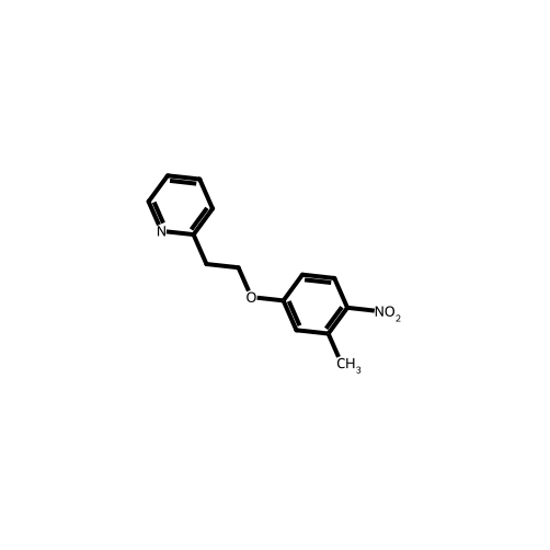 Cc1cc(OCCc2ccccn2)ccc1[N+](=O)[O-]